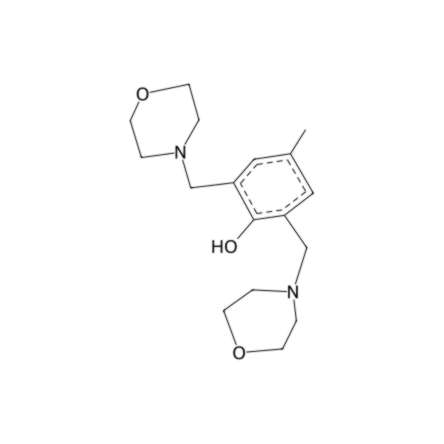 Cc1cc(CN2CCOCC2)c(O)c(CN2CCOCC2)c1